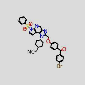 N#CC[C@H]1CC[C@H](n2c(COc3ccc(C(=O)c4ccc(Br)cc4)cc3)nc3cnc4c(ccn4S(=O)(=O)c4ccccc4)c32)CC1